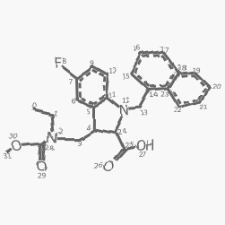 CCN(CC1c2cc(F)ccc2N(Cc2cccc3ccccc23)C1C(=O)O)C(=O)OC